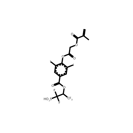 C=C(C)C(=O)OCC(=O)Oc1c(I)cc(C(=O)OC(C(F)(F)F)C(F)(F)S(=O)(=O)O)cc1I